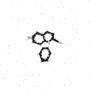 O=c1ccc2ccccc2o1.[SiH4].c1ccccc1